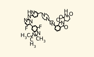 Cc1nc2c(F)cc(-c3nc(Nc4ccc(CN5CCN(C6CN(c7cccc8c7C(=O)N(C7CCC(=O)NC7=O)C8=O)C6)CC5)cn4)ncc3F)cc2n1C(C)C